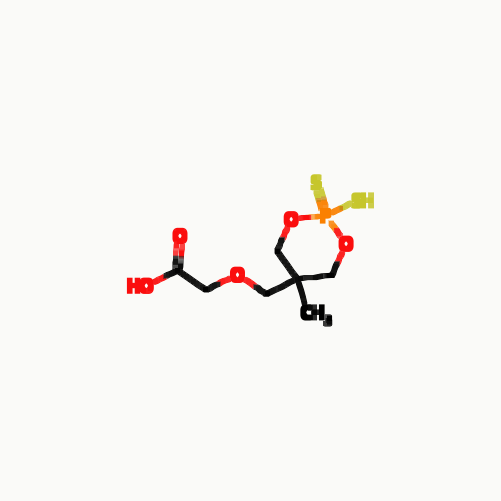 CC1(COCC(=O)O)COP(=S)(S)OC1